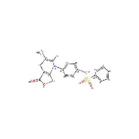 CC1=C(C(=O)O)CC2=C(COC2=O)N1c1ccc(OS(=O)(=O)c2ccccc2)cc1